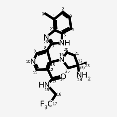 Cc1cccc2[nH]c(-c3cncc(C(=O)NCC(F)(F)F)c3N3CC[C@](C)(N)C3)nc12